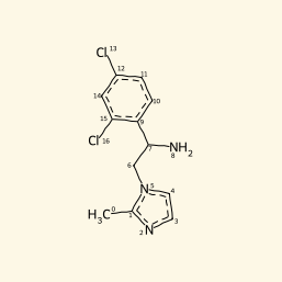 Cc1nccn1CC(N)c1ccc(Cl)cc1Cl